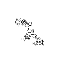 CC(C)(C)OC(=O)N1CCC(C#N)(c2nc(S(C)(=O)=O)nc3c2CCC(c2cc(O[Si](C)(C)C(C)(C)C)cc4ccccc24)C3)CC1